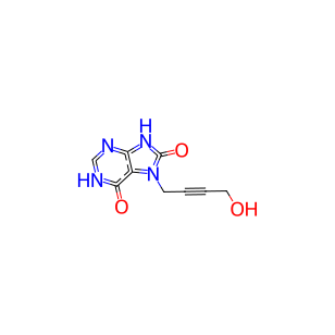 O=c1[nH]cnc2[nH]c(=O)n(CC#CCO)c12